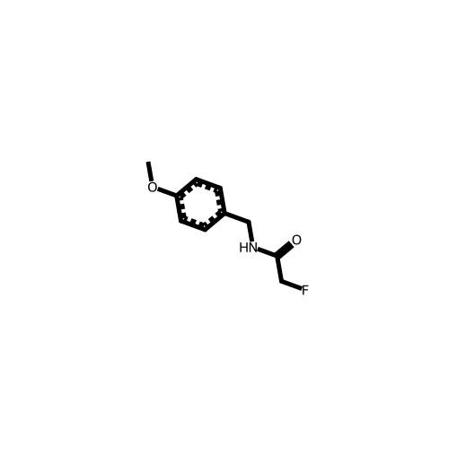 COc1ccc(CNC(=O)CF)cc1